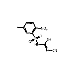 Cc1ccc([N+](=O)[O-])c(S(=O)(=O)NC(S)=NC#N)c1